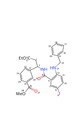 CCOC(=O)CC(NC(=O)c1cc(I)ccc1NCc1ccccc1)c1cccc(C(=O)OC)c1